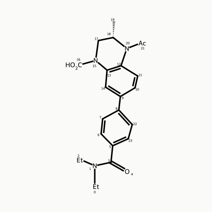 CCN(CC)C(=O)c1ccc(-c2ccc3c(c2)N(C(=O)O)C[C@H](C)N3C(C)=O)cc1